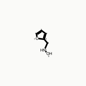 ONCc1ccco1